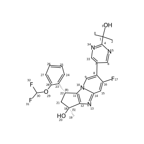 CC(C)(O)c1ncc(-c2cn3c4c(nc3cc2F)[C@@](C)(O)C[C@@H]4c2ccccc2OC(F)F)cn1